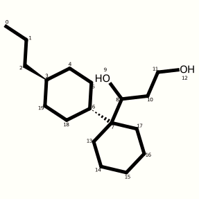 CCC[C@H]1CC[C@H](C2(C(O)CCO)CCCCC2)CC1